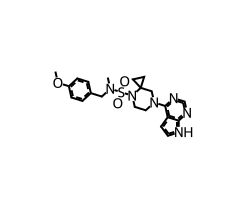 COc1ccc(CN(C)S(=O)(=O)N2CCN(c3ncnc4[nH]ccc34)CC23CC3)cc1